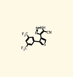 N#Cc1[nH]nnc1-c1cscc1-c1cc(C(F)(F)F)cc(C(F)(F)F)c1